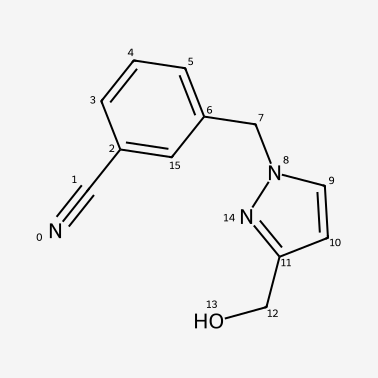 N#Cc1cccc(Cn2ccc(CO)n2)c1